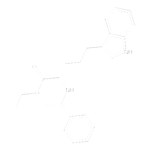 CCOC(=O)[C@H](CCCc1c[nH]c2ccccc12)N[C@@H](C)c1ccccc1